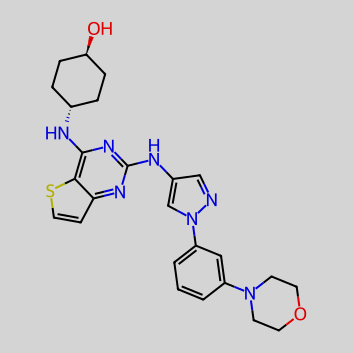 O[C@H]1CC[C@H](Nc2nc(Nc3cnn(-c4cccc(N5CCOCC5)c4)c3)nc3ccsc23)CC1